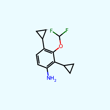 Nc1ccc(C2[CH]C2)c(OC(F)F)c1C1CC1